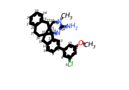 COc1cc(Cl)cc(-c2ccc3c(c2)C24N=C(N)N(C)CC25Cc2ccccc2CCC54C3)c1